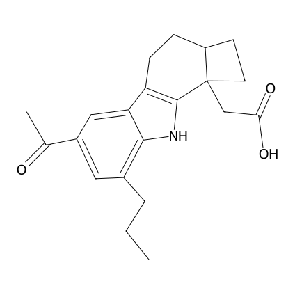 CCCc1cc(C(C)=O)cc2c3c([nH]c12)C1(CC(=O)O)CCC1CC3